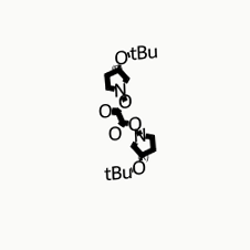 CC(C)(C)O[C@@H]1CCN(OC(=O)C(=O)ON2CC[C@@H](OC(C)(C)C)C2)C1